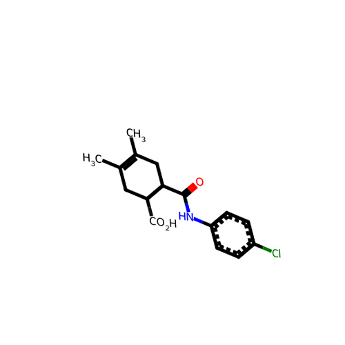 CC1=C(C)CC(C(=O)Nc2ccc(Cl)cc2)C(C(=O)O)C1